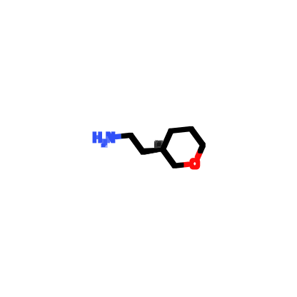 NCC[C@H]1CCCOC1